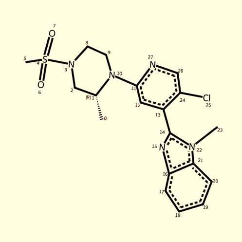 C[C@@H]1CN(S(C)(=O)=O)CCN1c1cc(-c2nc3ccccc3n2C)c(Cl)cn1